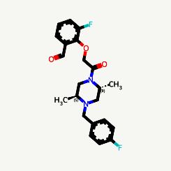 C[C@@H]1CN(Cc2ccc(F)cc2)[C@@H](C)CN1C(=O)COc1c(F)cccc1C=O